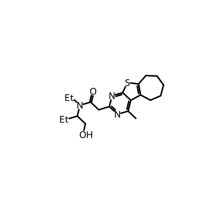 CCC(CO)N(CC)C(=O)Cc1nc(C)c2c3c(sc2n1)CCCCC3